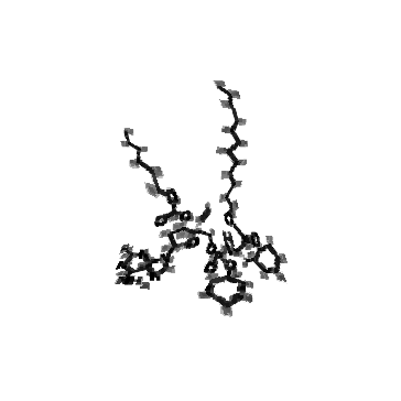 C#C[C@]1(CO[P@@](=O)(N[C@@H](Cc2ccccc2)C(=O)OCCCCCCCCCCCC)Oc2ccccc2)O[C@@H](n2cnc3c(N)nc(F)nc32)C[C@@H]1OC(=O)OCCCCCC